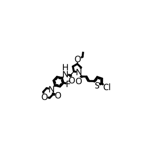 CCO[C@@H]1C[C@H](C(=O)Nc2ccc(N3CCOCC3=O)cc2F)N(C(=O)/C=C/c2ccc(Cl)s2)C1